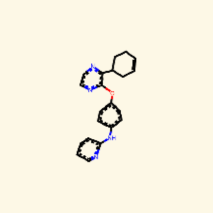 C1=CCC(c2nccnc2Oc2ccc(Nc3ccccn3)cc2)CC1